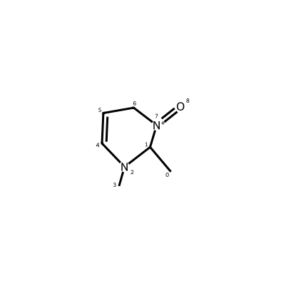 CC1N(C)C=CC[N+]1=O